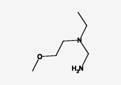 CCN(CN)CCOC